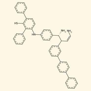 N/C=C\C(c1cccc(-c2ccc(-c3ccccc3)cc2)c1)[C@@H](N)c1ccc(Nc2ccc(-c3ccccc3)c(S)c2-c2ccccc2)cc1